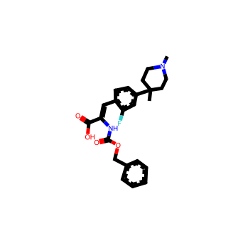 CN1CCC(C)(c2ccc(/C=C(\NC(=O)OCc3ccccc3)C(=O)O)c(F)c2)CC1